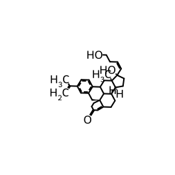 C=C(C)c1ccc2c(c1)C[C@]13CCC(=O)C=C1CC[C@@H]1C3C2C[C@@]2(C)[C@H]1CC[C@@]2(O)/C=C\CCO